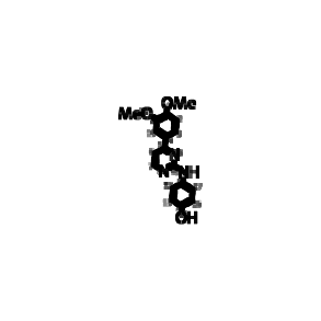 COc1ccc(-c2ccnc(Nc3ccc(O)cc3)n2)cc1OC